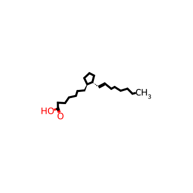 CCCCCCC=C[C@H]1CCC[C@@H]1CCCCCCC(=O)O